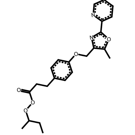 CCC(C)OOC(=O)CCc1ccc(OCc2nc(-c3ccccn3)oc2C)cc1